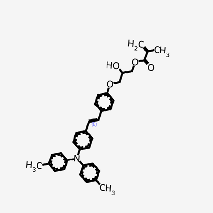 C=C(C)C(=O)OCC(O)COc1ccc(/C=C/c2ccc(N(c3ccc(C)cc3)c3ccc(C)cc3)cc2)cc1